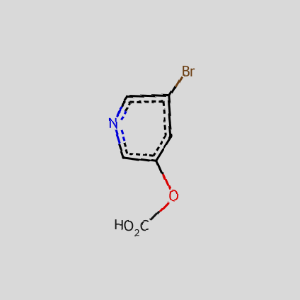 O=C(O)Oc1cncc(Br)c1